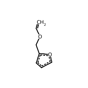 C=COCc1ccco1